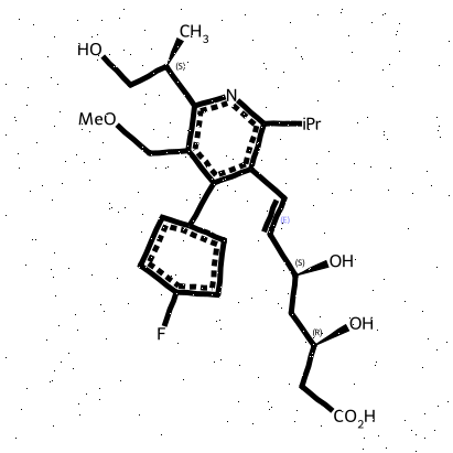 COCc1c([C@H](C)CO)nc(C(C)C)c(/C=C/[C@@H](O)C[C@@H](O)CC(=O)O)c1-c1ccc(F)cc1